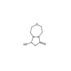 O=C1CC(O)N2CCOCCN12